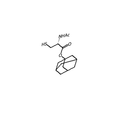 CC(=O)N[C@@H](CS)C(=O)OC12CC3CC(CC(C3)C1)C2